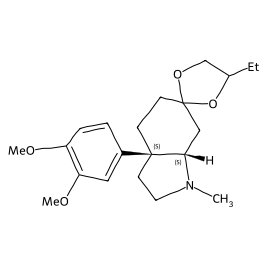 CCC1COC2(CC[C@@]3(c4ccc(OC)c(OC)c4)CCN(C)[C@H]3C2)O1